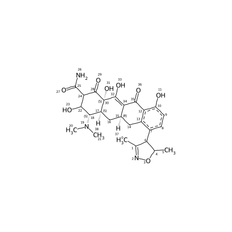 CC1=NOC(C)C1c1ccc(O)c2c1C[C@H]1C[C@H]3[C@H](N(C)C)C(O)C(C(N)=O)C(=O)[C@@]3(O)C(O)=C1C2=O